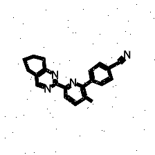 Cc1ccc(-c2ncc3c(n2)CCCC3)nc1-c1ccc(C#N)cc1